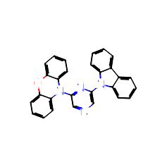 c1ccc2c(c1)Oc1ccccc1N2c1cncc(-n2c3ccccc3c3ccccc32)n1